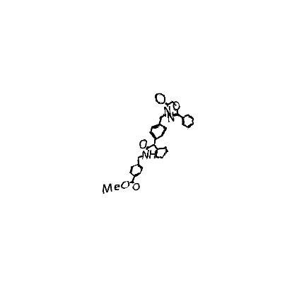 COC(=O)c1ccc(CNC(=O)C(c2ccc(CN3N=C(c4ccccc4)OCC3=O)cc2)C2CCCC2)cc1